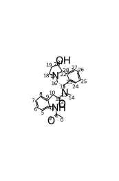 CC(=O)Nc1ccccc1CC(=O)N(C)[C@H](CN1CC[C@H](O)C1)c1ccccc1